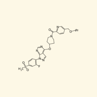 CC(C)OCc1ccc(C(=O)N2CCC(Oc3ncnc4c3cnn4-c3ccc(S(C)(=O)=O)cc3F)CC2)nc1